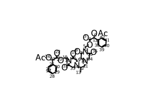 CC(=O)OC(C(=O)OCN1C(=O)CN(CC(C)N2CC(=O)N(COC(=O)[C@H](OC(C)=O)c3ccccc3)C(=O)C2)CC1=O)c1ccccc1